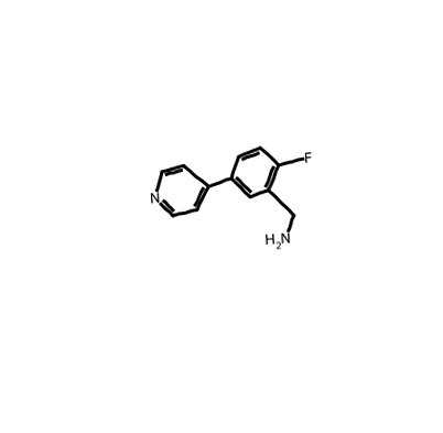 NCc1cc(-c2ccncc2)ccc1F